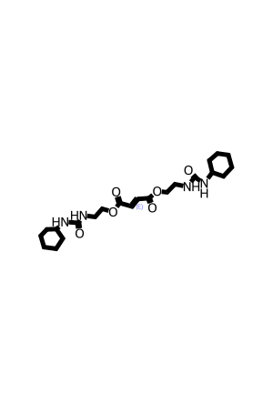 O=C(NCCOC(=O)/C=C/C(=O)OCCNC(=O)NC1CCCCC1)NC1CCCCC1